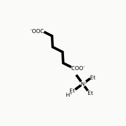 CC[N+](C)(CC)CC.O=C([O-])CCCCC(=O)[O-].[H+]